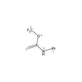 C=C(NC(C)C)OC(F)(F)F